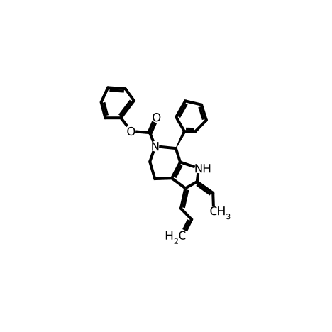 C=C/C=c1/c2c([nH]/c1=C/C)[C@H](c1ccccc1)N(C(=O)Oc1ccccc1)CC2